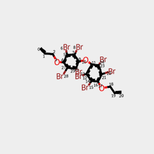 C=CCOc1c(Br)c(Br)c(Oc2c(Br)c(Br)c(OCC=C)c(Br)c2Br)c(Br)c1Br